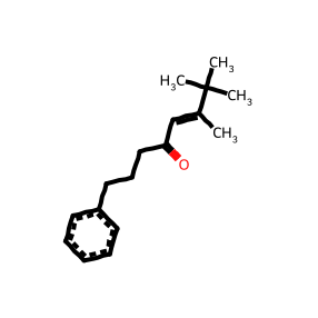 C/C(=C\C(=O)CCCc1ccccc1)C(C)(C)C